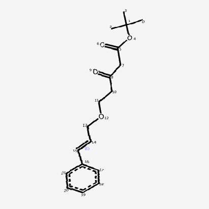 CC(C)(C)OC(=O)CC(=O)CCOC/C=C/c1ccccc1